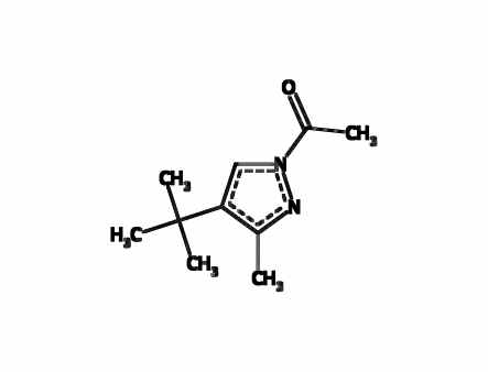 CC(=O)n1cc(C(C)(C)C)c(C)n1